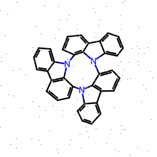 c1ccc2c(c1)c1cccc3c1n2c1cccc2c4ccccc4n(c4cccc5c6ccccc6n3c54)c21